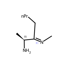 CCCC/C(=N\C)[C@H](C)N